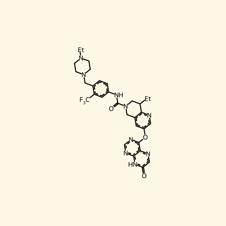 CCC1CN(C(=O)Nc2ccc(CN3CCN(CC)CC3)c(C(F)(F)F)c2)Cc2cc(Oc3ncnc4[nH]c(=O)cnc34)cnc21